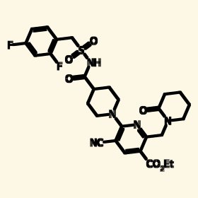 CCOC(=O)c1cc(C#N)c(N2CCC(C(=O)NS(=O)(=O)Cc3ccc(F)cc3F)CC2)nc1CN1CCCCC1=O